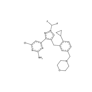 Nc1nc(Cl)cc(-c2nn(C(F)F)cc2Cc2cc(CN3CCOCC3)ccc2C2CC2)n1